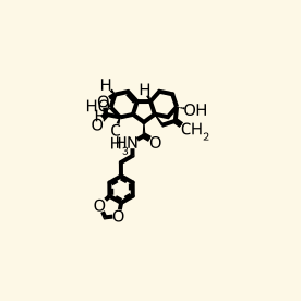 C=C1C[C@]23C[C@@]1(O)CC[C@H]2C1=C[C@H]2OC(=O)[C@@](C)(C1[C@@H]3C(=O)NCCc1ccc3c(c1)OCO3)[C@H]2O